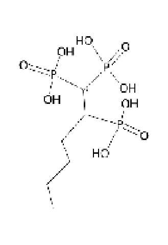 CCCCC([C](P(=O)(O)O)P(=O)(O)O)P(=O)(O)O